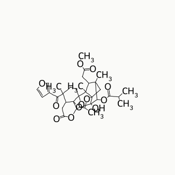 COC(=O)CC1C2(C)CC34OC5(C)OC67C(CC(=O)OC6C3(O)C2OC(=O)C(C)C)C(C)(C(=O)c2ccoc2)CCC7(O5)C14C